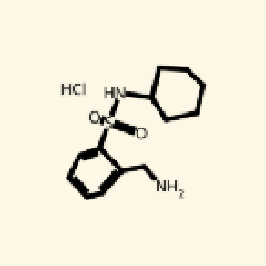 Cl.NCc1ccccc1S(=O)(=O)NC1CCCCC1